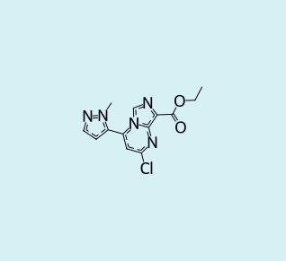 CCOC(=O)c1ncn2c(-c3ccnn3C)cc(Cl)nc12